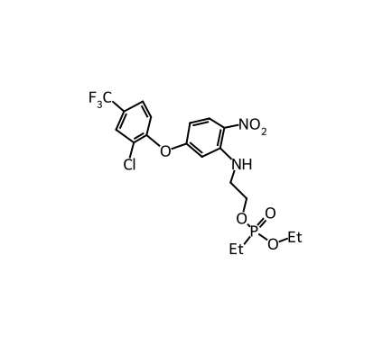 CCOP(=O)(CC)OCCNc1cc(Oc2ccc(C(F)(F)F)cc2Cl)ccc1[N+](=O)[O-]